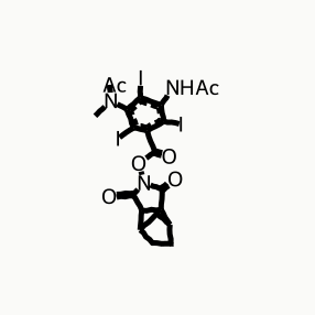 CC(=O)Nc1c(I)c(C(=O)ON2C(=O)C3C4CCC(C4)C3C2=O)c(I)c(N(C)C(C)=O)c1I